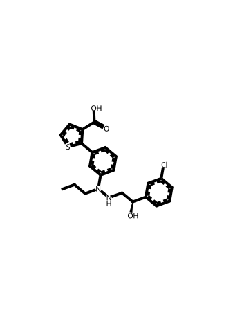 CCCN(NC[C@H](O)c1cccc(Cl)c1)c1cccc(-c2sccc2C(=O)O)c1